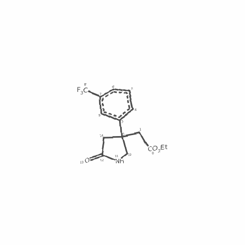 CCOC(=O)CC1(c2cccc(C(F)(F)F)c2)CNC(=O)C1